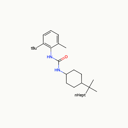 CCCCCCCC(C)(C)C1CCC(NC(=O)Nc2c(C)cccc2C(C)(C)C)CC1